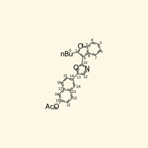 CCCCc1oc2ccccc2c1-c1ncc(-c2ccc3cc(OC(C)=O)ccc3c2)o1